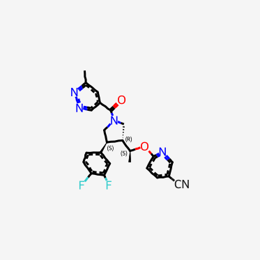 Cc1cc(C(=O)N2C[C@H]([C@H](C)Oc3ccc(C#N)cn3)[C@@H](c3ccc(F)c(F)c3)C2)cnn1